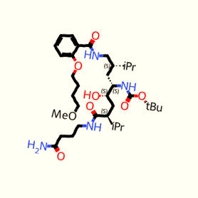 COCCCCOc1ccccc1C(=O)NC[C@@H](C[C@H](NC(=O)OC(C)(C)C)[C@@H](O)C[C@H](C(=O)NCCCC(N)=O)C(C)C)C(C)C